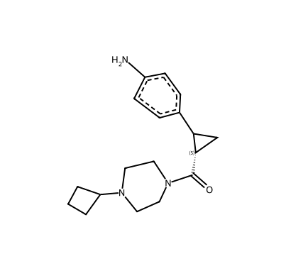 Nc1ccc(C2C[C@@H]2C(=O)N2CCN(C3CCC3)CC2)cc1